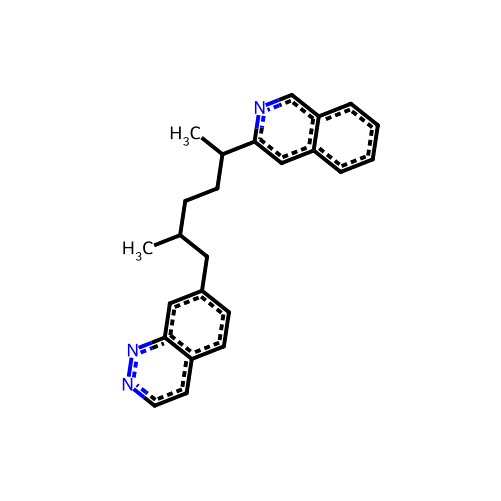 CC(CCC(C)c1cc2ccccc2cn1)Cc1ccc2ccnnc2c1